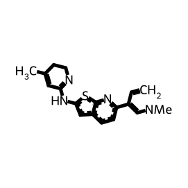 C=C/C(=C\NC)c1ccc2cc(NC3=NCCC(C)=C3)sc2n1